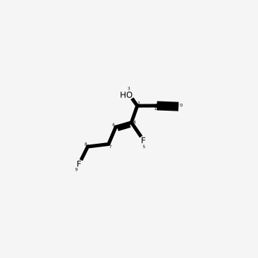 C#CC(O)C(F)=CCCF